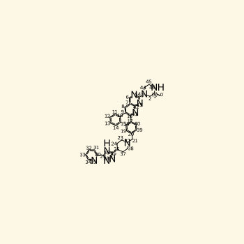 C[C@H]1CN(c2ncc3cc(-c4ccccc4)c(-c4ccc(CN5CCC(c6nnc(-c7ccccn7)[nH]6)CC5)cc4)nc3n2)CCN1